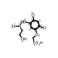 CCN(CC)CCO.O=C(O)COc1cc(Cl)c(Cl)cc1Cl